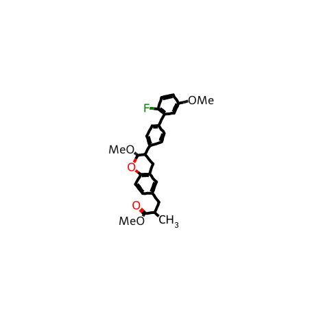 COC(=O)C(C)Cc1ccc2c(c1)CC(c1ccc(-c3cc(OC)ccc3F)cc1)C(OC)O2